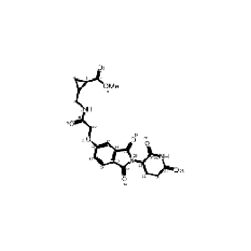 COC(=O)C1CC1CNC(=O)COc1ccc2c(c1)C(=O)N(C1CCC(=O)NC1=O)C2=O